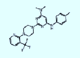 Cc1ccc(Nc2cc(N(C)C)nc(N3CCN(c4ncccc4C(F)(F)F)CC3)n2)cc1